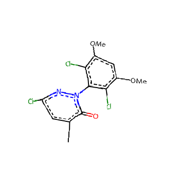 COc1cc(OC)c(Cl)c(-n2nc(Cl)cc(C)c2=O)c1Cl